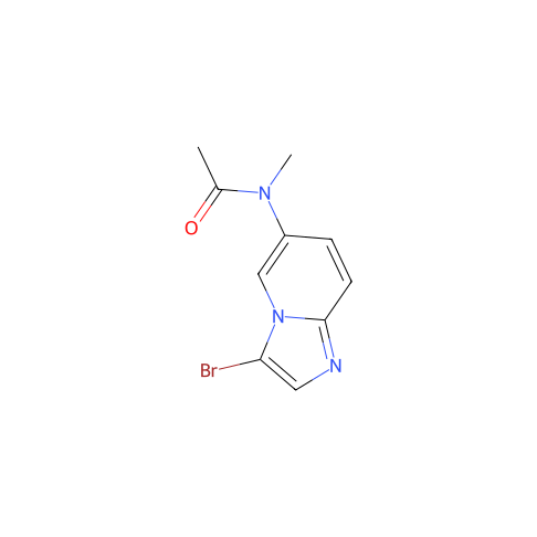 CC(=O)N(C)c1ccc2ncc(Br)n2c1